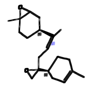 CC1=CC[C@@H](C2(C/C=C(/C)[C@H]3CCC4(C)OC4C3)CO2)CC1